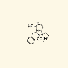 N#Cc1nccc(C2(N(CCc3ccccc3)C(=O)O)CCCC2)n1